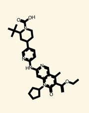 C=C(OCC)c1c(C)c2cnc(Nc3ccc(C4CCN(C(=O)O)C(C(C)(C)C)C4)cn3)cc2n(C2CCCC2)c1=O